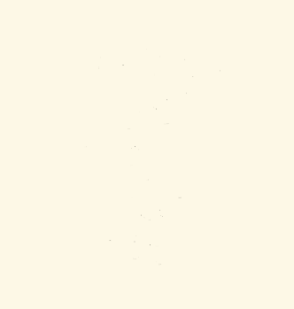 CC(C)Oc1ccc(F)cc1N1CCN(CCCN2C(=O)CC3(CC3)C2=O)CC1.Cl